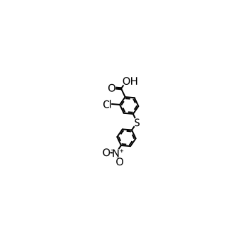 O=C(O)c1ccc(Sc2ccc([N+](=O)[O-])cc2)cc1Cl